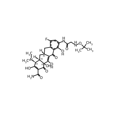 CN(C)[C@@H]1C(O)=C(C(N)=O)C(=O)[C@@]2(O)C(O)=C3C(=O)c4c(O)c(NC(=O)CNOC(C)(C)C)cc(F)c4C[C@H]3C[C@@H]12